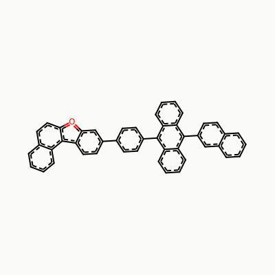 c1ccc2cc(-c3c4ccccc4c(-c4ccc(-c5ccc6c(c5)oc5ccc7ccccc7c56)cc4)c4ccccc34)ccc2c1